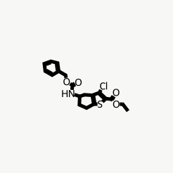 CCOC(=O)c1sc2c(c1Cl)CC(NC(=O)OCc1ccccc1)CC2